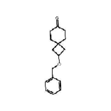 O=C1CCC2(CC1)CC(OCc1ccccc1)C2